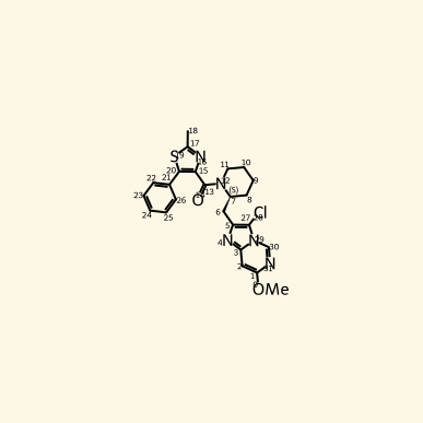 COc1cc2nc(C[C@@H]3CCCCN3C(=O)c3nc(C)sc3-c3ccccc3)c(Cl)n2cn1